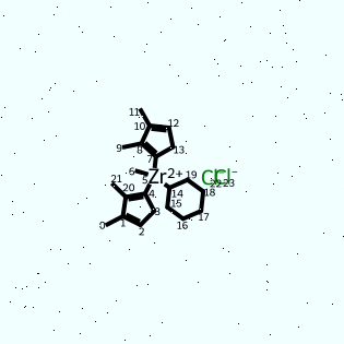 CC1=CC[C]([Zr+2]([CH3])([C]2=C(C)C(C)=CC2)[CH]2CCCCC2)=C1C.[Cl-].[Cl-]